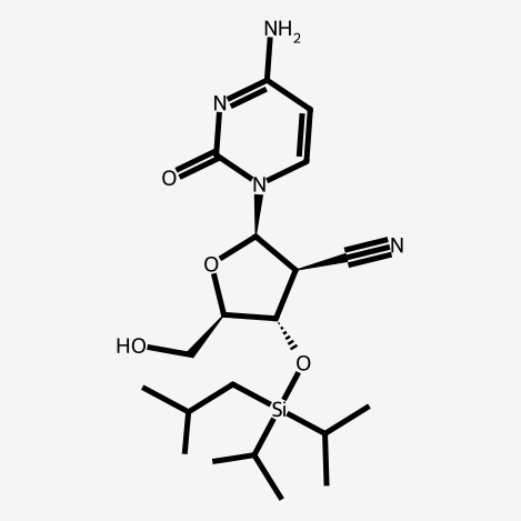 CC(C)C[Si](O[C@H]1[C@H](C#N)[C@H](n2ccc(N)nc2=O)O[C@@H]1CO)(C(C)C)C(C)C